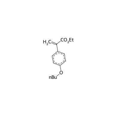 C=C(C(=O)OCC)c1ccc(OCCCC)cc1